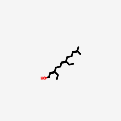 CC/C(=C\CC/C(=C/CO)CC)CCC=C(C)C